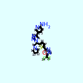 Nc1ccc(-c2cn(C(CN3CCCC3)c3ccc(-c4nnc(C(F)F)o4)s3)nn2)cn1